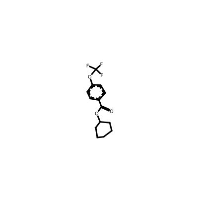 O=C(OC1[CH]CCCC1)c1ccc(OC(F)(F)F)cc1